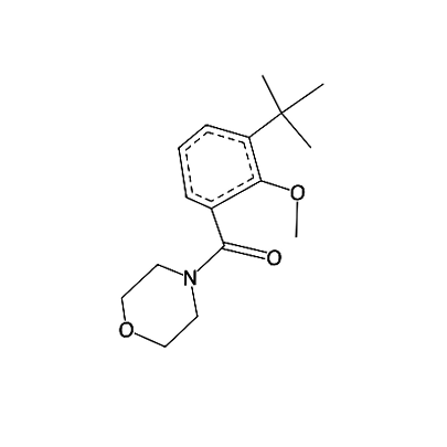 COc1c(C(=O)N2CCOCC2)cccc1C(C)(C)C